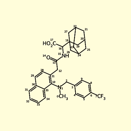 CN(Cc1ccc(C(F)(F)F)cc1)c1c(CC(=O)NC(C(=O)O)C23CC4CC(CC(C4)C2)C3)ccc2ccccc12